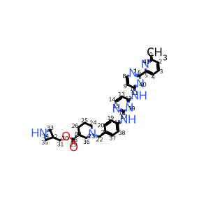 Cc1cccc(-c2nccc(Nc3ccnc(Nc4ccc(CN5CCC[C@H](C(=O)OCC6CNC6)C5)cc4)n3)n2)n1